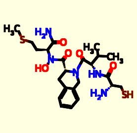 CSCC[C@@H](C(N)=O)N(O)C(=O)[C@H]1Cc2ccccc2CN1C(=O)[C@@H](NC(=O)[C@@H](N)CS)C(C)C